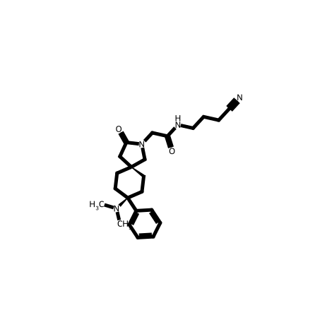 CN(C)[C@]1(c2ccccc2)CC[C@@]2(CC1)CC(=O)N(CC(=O)NCCCC#N)C2